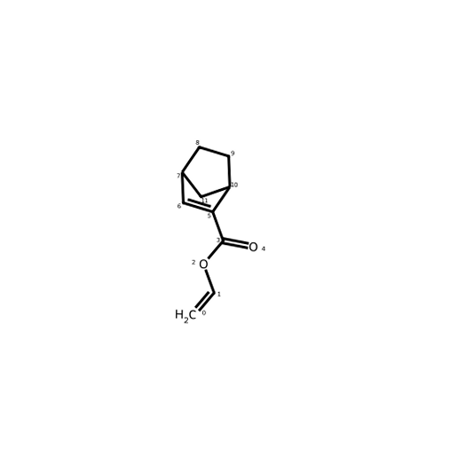 C=COC(=O)C1=CC2CCC1C2